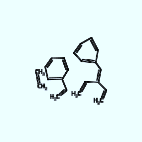 C=C.C=CC(C=C)=Cc1ccccc1.C=Cc1ccccc1